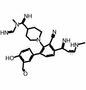 CN/C=C\C(=N)c1ccc(-c2ccc(O)c(C=O)c2)c(N2CCC(C(=N)N(C)C=N)CC2)c1C#N